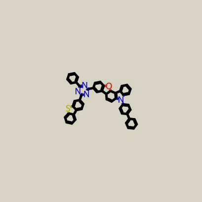 C1=CC2c3cc(-c4nc(-c5ccccc5)nc(-c5ccc6c(c5)sc5ccccc56)n4)ccc3OC2c2c1n(-c1ccc(-c3ccccc3)cc1)c1ccccc21